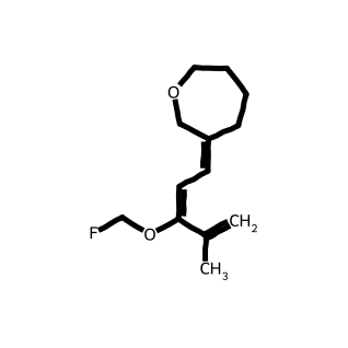 C=C(C)/C(=C\C=C1\CCCCOC1)OCF